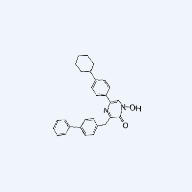 O=c1c(Cc2ccc(-c3ccccc3)cc2)nc(-c2ccc(C3CCCCC3)cc2)cn1O